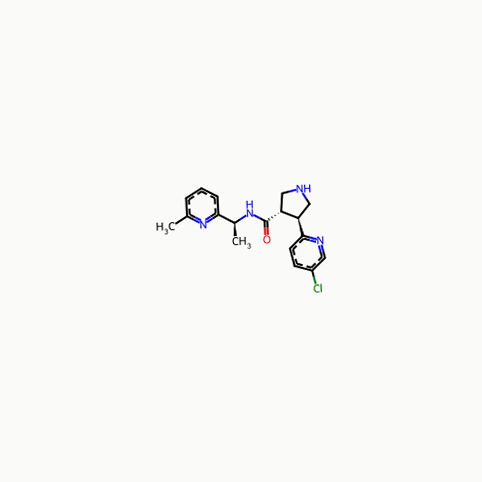 Cc1cccc([C@H](C)NC(=O)[C@@H]2CNC[C@H]2c2ccc(Cl)cn2)n1